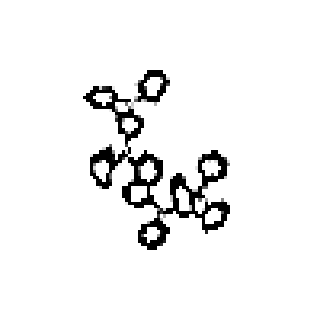 C1=CCCC(n2c3ccccc3c3cc(N(C4=CC=CC5C(N(c6ccccc6)c6ccc7c(c6)C6C=CC=CC6N7c6ccccc6)=CC=CC45)C4C=CC=CC4)ccc32)=C1